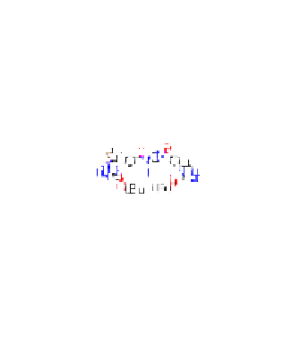 Cc1sc2c(c1C)C(c1ccc(C(=O)NC3CCN(C(=O)c4ccc(C5=N[C@@H](CC(=O)OC(C)(C)C)c6nnc(C)n6-c6sc(C)c(C)c65)cc4)CC3)cc1)=N[C@@H](CC(=O)OC(C)(C)C)c1nnc(C)n1-2